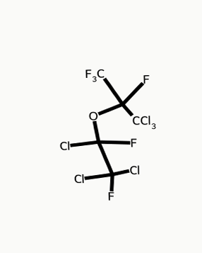 FC(F)(F)C(F)(OC(F)(Cl)C(F)(Cl)Cl)C(Cl)(Cl)Cl